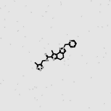 Cc1nonc1CNC(=O)c1oc2c(c1C)-c1nn(Cc3ccccn3)cc1CC2